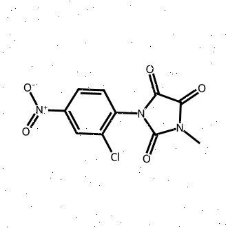 CN1C(=O)C(=O)N(c2ccc([N+](=O)[O-])cc2Cl)C1=O